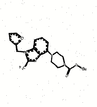 CC(C)(C)OC(=O)N1CCN(c2cccc3c2nc(C(F)(F)F)n3Cc2ccco2)CC1